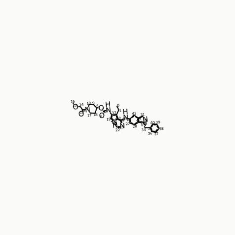 CCc1c(NC(=O)OC2CCN(C(=O)COC)CC2)cn2ncnc(Nc3ccc4c(cnn4Cc4ccccc4)c3)c12